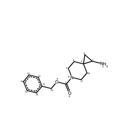 NC1CC12CCN(C(=O)OCc1ccccc1)CC2